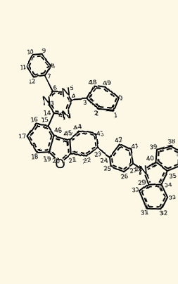 c1ccc(-c2nc(-c3ccccc3)nc(-c3cccc4oc5cc(-c6ccc(-n7c8ccccc8c8ccccc87)cc6)ccc5c34)n2)cc1